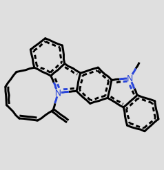 C=C1/C=C\C=C/Cc2cccc3c4cc5c(cc4n1c23)c1ccccc1n5C